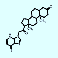 CC12CCC(=O)CC1CCC1C2CCC2(C)C(C(=O)Cn3cnc4c(=S)cc[nH]c43)CCC12